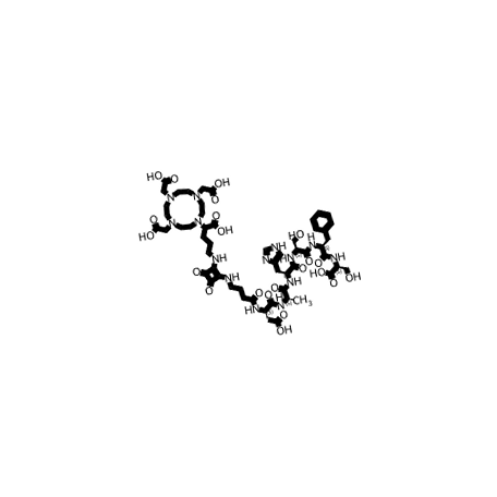 C[C@H](NC(=O)[C@H](CC(=O)O)NC(=O)CCCNc1c(NCCCC(C(=O)O)N2CCN(CC(=O)O)CCN(CC(=O)O)CCN(CC(=O)O)CC2)c(=O)c1=O)C(=O)N[C@@H](Cc1c[nH]cn1)C(=O)N[C@@H](CO)C(=O)N[C@@H](Cc1ccccc1)C(=O)N[C@@H](CO)C(=O)O